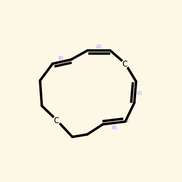 [C]1=C/CCCCC/C=C/C=C\C\C=C/1